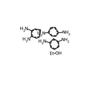 CCO.Nc1ccc(N)cc1.Nc1cccc(N)c1.Nc1ccccc1N